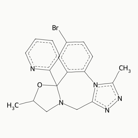 Cc1nnc2n1-c1ccc(Br)cc1C1(c3ccccn3)OC(C)CN1C2